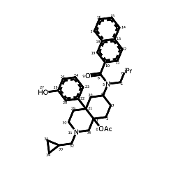 CC(=O)OC12CCC(N(CC(C)C)C(=O)c3ccc4ccccc4c3)CC1(c1cccc(O)c1)CCN(CC1CC1)C2